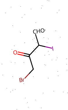 O=[C]C(I)C(=O)CBr